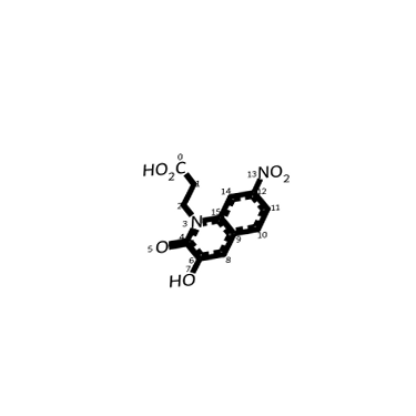 O=C(O)CCn1c(=O)c(O)cc2ccc([N+](=O)[O-])cc21